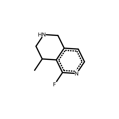 CC1CNCc2ccnc(F)c21